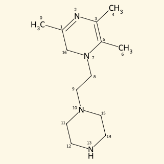 CC1=NC(C)=C(C)N(CCN2CCNCC2)C1